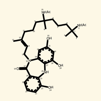 CC(=O)NC(C)(C)CCCC(C)(CCC/C(C)=C/CN1C(=O)c2cccc(O)c2Nc2c(O)cc(O)cc21)NC(C)=O